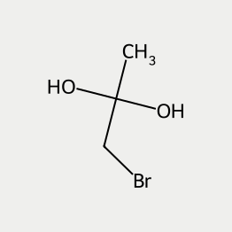 CC(O)(O)CBr